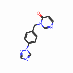 O=c1ccncn1Cc1ccc(-n2cncn2)cc1